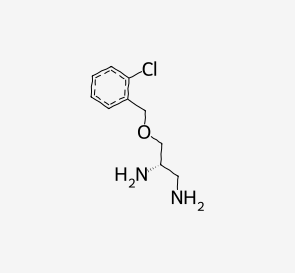 NC[C@H](N)COCc1ccccc1Cl